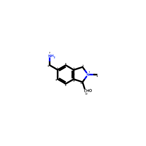 CN1Cc2cc(CN)ccc2C1C=O